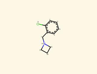 Clc1ccccc1CN1CCC1